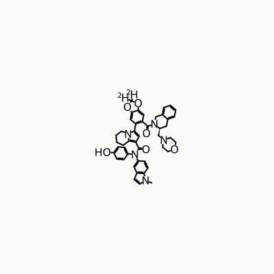 [2H]C1([2H])Oc2cc(C(=O)N3Cc4ccccc4C[C@H]3CN3CCOCC3)c(-c3cc(C(=O)N(c4ccc(O)cc4)c4ccc5c(ccn5C)c4)c4n3CCCC4)cc2O1